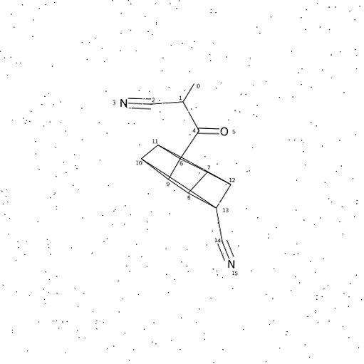 CC(C#N)C(=O)C12C3C4C1C1C2C3C41C#N